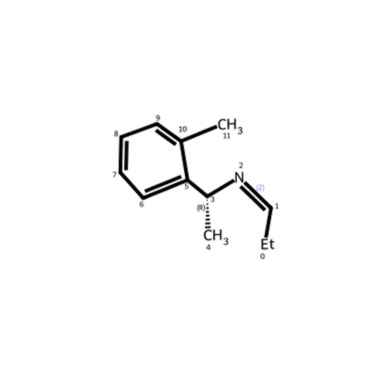 CC/C=N\[C@H](C)c1ccccc1C